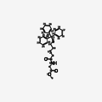 COC(=O)CNC(=O)CSCCSC(c1ccccc1)(c1ccccc1)c1ccccc1